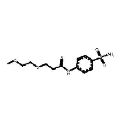 COCCOCCC(=O)Nc1ccc(S(N)(=O)=O)cc1